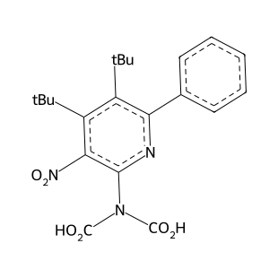 CC(C)(C)c1c(-c2ccccc2)nc(N(C(=O)O)C(=O)O)c([N+](=O)[O-])c1C(C)(C)C